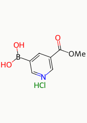 COC(=O)c1cncc(B(O)O)c1.Cl